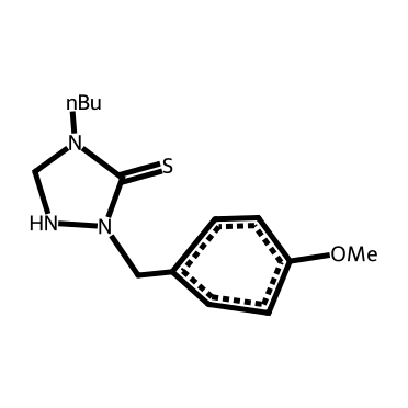 CCCCN1CNN(Cc2ccc(OC)cc2)C1=S